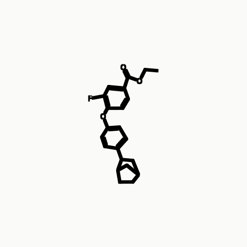 CCOC(=O)c1ccc(Oc2ccc(C3CC4CCC3C4)cc2)c(F)c1